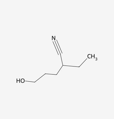 CCC(C#N)CCCO